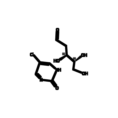 O=CC[C@H](O)[C@H](O)CO.O=c1ncc(Cl)c[nH]1